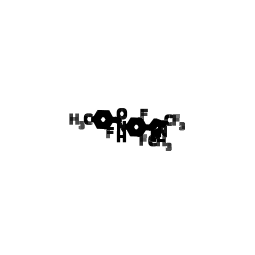 Cc1ccc(C(=O)Nc2cc(F)c(-c3cc(C(F)(F)F)nn3C)c(F)c2)c(F)c1